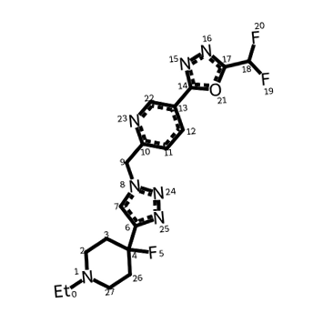 CCN1CCC(F)(c2cn(Cc3ccc(-c4nnc(C(F)F)o4)cn3)nn2)CC1